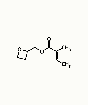 CC=C(C)C(=O)OCC1CCO1